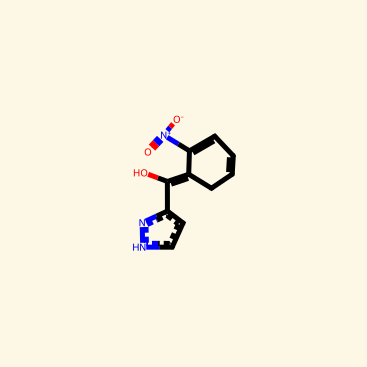 O=[N+]([O-])C1=CC=CCC1=C(O)c1cc[nH]n1